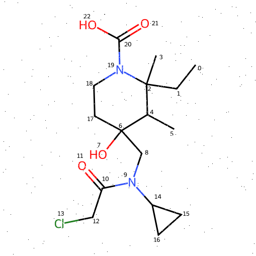 CCC1(C)C(C)C(O)(CN(C(=O)CCl)C2CC2)CCN1C(=O)O